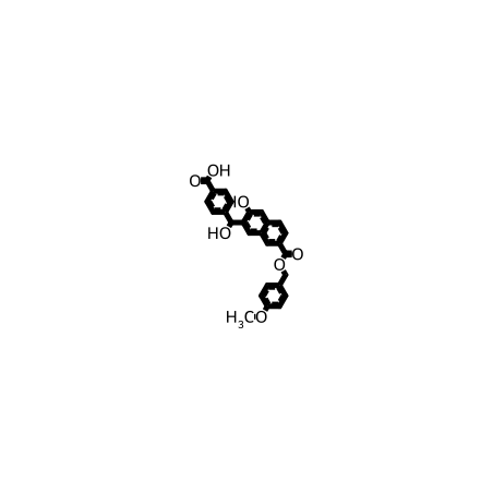 COc1ccc(COC(=O)c2ccc3cc(O)c(C(O)c4ccc(C(=O)O)cc4)cc3c2)cc1